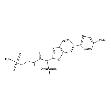 COc1ccc(-c2ccc3nc(C(C(=O)NCCS(N)(=O)=O)S(C)(=O)=O)sc3c2)nc1